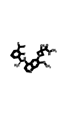 CNC(=O)C1(C)CN(c2cc3c(N[C@H](C)c4cccc(C(F)F)c4F)ccnc3cc2OC)C1